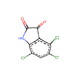 O=C1Nc2c(Cl)cc(Cl)c(Cl)c2C1=O